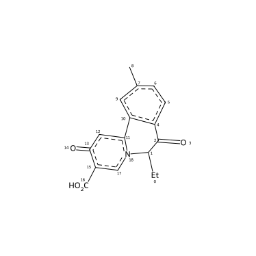 CCC1C(=O)c2ccc(C)cc2-c2cc(=O)c(C(=O)O)cn21